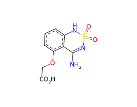 NC1=NS(=O)(=O)Nc2cccc(OCC(=O)O)c21